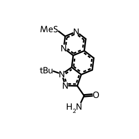 CSc1ncc2ccc3c(C(N)=O)nn(C(C)(C)C)c3c2n1